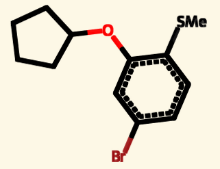 CSc1ccc(Br)cc1OC1CCCC1